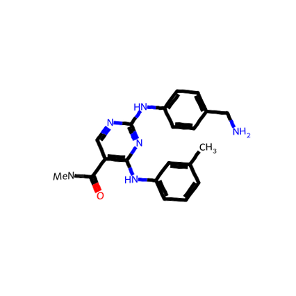 CNC(=O)c1cnc(Nc2ccc(CN)cc2)nc1Nc1cccc(C)c1